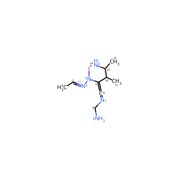 C/C=N/N(I)C(=C=NCN)C(C)C(C)N